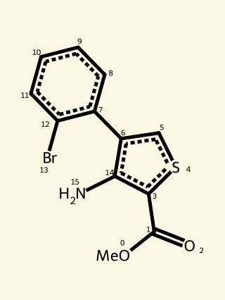 COC(=O)c1scc(-c2ccccc2Br)c1N